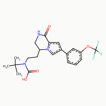 CC(C)(C)N(CCC1CNC(=O)c2cc(-c3cccc(OC(F)(F)F)c3)cn21)C(=O)O